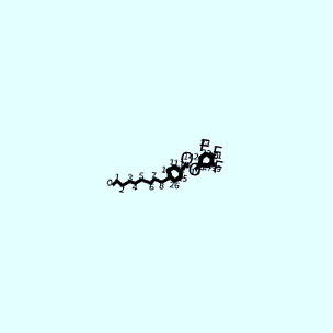 CCCCCCCCCc1ccc(C(=O)Oc2cc(F)c(F)c(F)c2)cc1